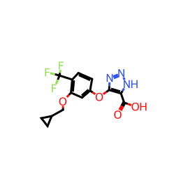 O=C(O)c1[nH]nnc1Oc1ccc(C(F)(F)F)c(OCC2CC2)c1